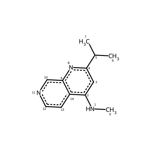 CNc1cc(C(C)C)nc2cnccc12